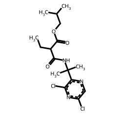 CCC(C(=O)NC(C)(C)c1ncc(Cl)nc1Cl)C(=O)OCC(C)C